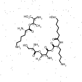 CCCCCCCCCCCCCCCC(=O)N[C@@H](CCCCN)C(=O)OC(=O)[C@@H](N)[C@@H](C)OC(=O)[C@@H](N)CO.C[C@@H](OC(=O)[C@@H](N)CCCCN)[C@H](N)C(=O)O